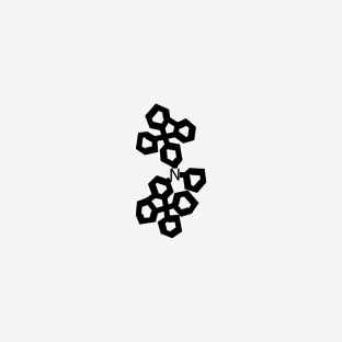 C1=CC(C2(c3ccc(N(c4ccccc4)c4ccc5c(c4)C(c4ccccc4)(c4ccccc4)c4ccccc4-5)cc3)c3ccccc3-c3ccccc32)=CCC1